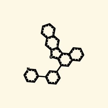 c1cncc(-c2cccc(-c3cc4ccccc4c4c3oc3cc5ccccc5cc34)c2)c1